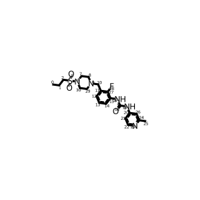 CCCS(=O)(=O)N1CCN(Cc2cccc(NC(=O)Nc3ccnc(C)c3)c2F)CC1